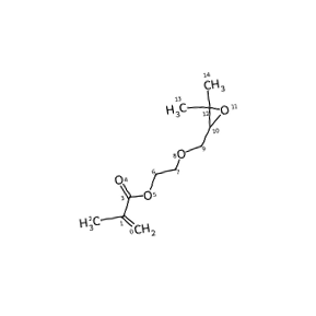 C=C(C)C(=O)OCCOCC1OC1(C)C